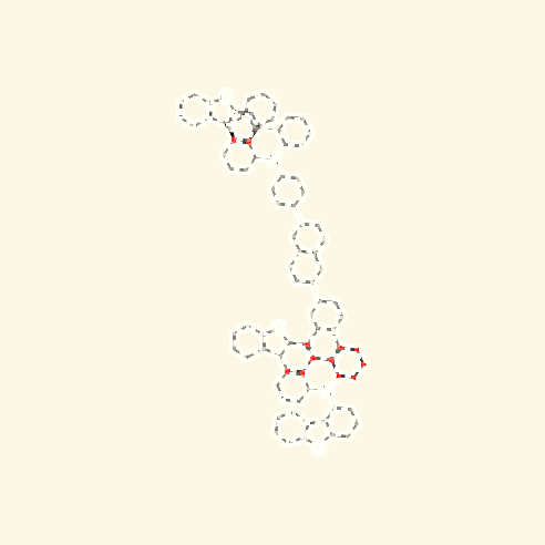 c1ccc(N(c2ccc(-c3ccc4cc(-c5ccc6c(c5)cc(-c5ccccc5N(c5ccccc5-c5ccc7c(c5)oc5ccccc57)c5cccc7oc8ccccc8c57)c5ccccc56)ccc4c3)cc2)c2cccc3oc4ccccc4c23)c(-c2ccc3c(c2)oc2ccccc23)c1